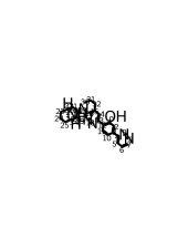 Oc1cc(-c2cccnn2)ccc1-c1cc2c(nn1)N([C@H]1C[C@@H]3CCC[C@@H](N3)[C@H]1F)CCC2